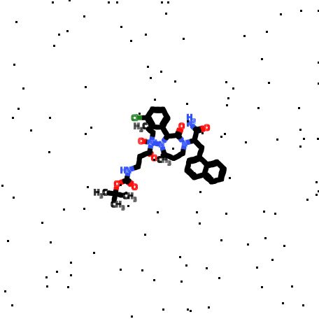 CC[N+]([O-])(C(=O)CCNC(=O)OC(C)(C)C)N1C(C)CCN(C(Cc2cccc3ccccc23)C(N)=O)C(=O)C1c1cccc(Cl)c1